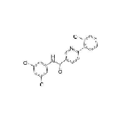 O=C(Nc1cc(Cl)cc(Cl)c1)c1ccc(-c2ccccc2Cl)nc1